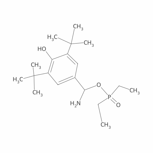 CCP(=O)(CC)OC(N)c1cc(C(C)(C)C)c(O)c(C(C)(C)C)c1